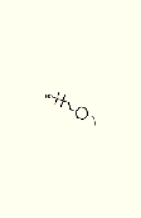 CC(C)(CC[C@H]1CC[C@H](CI)CC1)[Si](C)(C)O